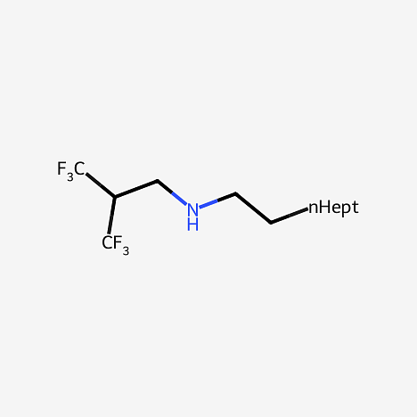 CCCCCCCCCNCC(C(F)(F)F)C(F)(F)F